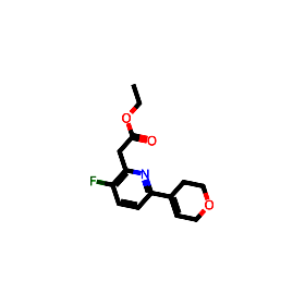 CCOC(=O)Cc1nc(C2=CCOCC2)ccc1F